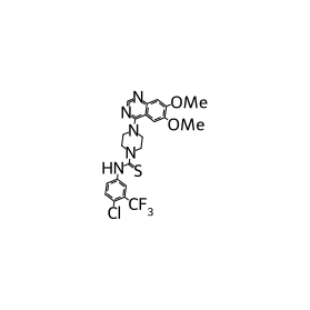 COc1cc2ncnc(N3CCN(C(=S)Nc4ccc(Cl)c(C(F)(F)F)c4)CC3)c2cc1OC